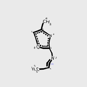 C/C=N\c1nc(C)co1